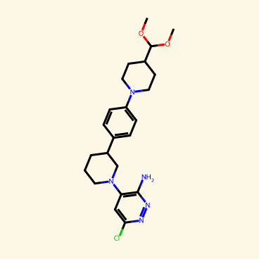 COC(OC)C1CCN(c2ccc(C3CCCN(c4cc(Cl)nnc4N)C3)cc2)CC1